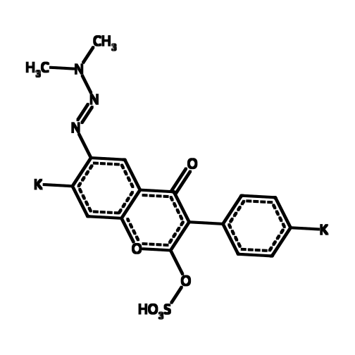 CN(C)N=Nc1cc2c(=O)c(-c3cc[c]([K])cc3)c(OS(=O)(=O)O)oc2c[c]1[K]